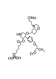 CCOCC(C)COCc1ccc(C2C(OCC3CCC4OCCN(CCCOC)C4C3)CNCC2OC(=O)CCCCCON(O)O)cc1